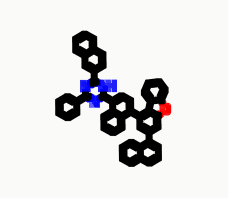 c1ccc(C2=NC(c3ccc(-c4cc(-c5cccc6ccccc56)cc5oc6ccccc6c45)c4ccccc34)NC(c3ccc4ccccc4c3)=N2)cc1